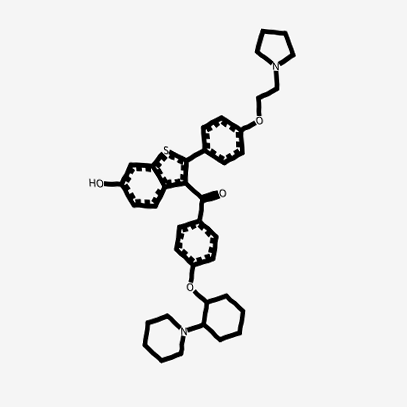 O=C(c1ccc(OC2CCCCC2N2CCCCC2)cc1)c1c(-c2ccc(OCCN3CCCC3)cc2)sc2cc(O)ccc12